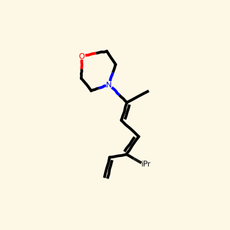 C=C/C(=C\C=C(/C)N1CCOCC1)C(C)C